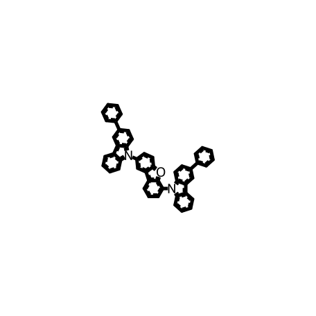 c1ccc(-c2ccc3c(c2)c2ccccc2n3-c2ccc3oc4c(-n5c6ccccc6c6cc(-c7ccccc7)ccc65)cccc4c3c2)cc1